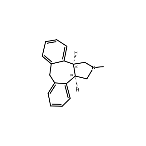 CN1C[C@@H]2c3ccccc3Cc3ccccc3[C@@H]2C1